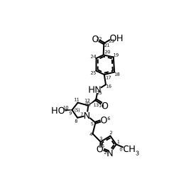 Cc1cc(CC(=O)N2C[C@@H](O)C[C@H]2C(=O)NCc2ccc(C(=O)O)cc2)on1